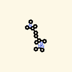 c1ccc(-c2nc(-n3c4ccccc4c4cc(-c5ccc6cc(-c7cc8c9ccccc9n(-c9ccccc9)c8c8ccccc78)ccc6c5)c5ccccc5c43)nc3ccccc23)cc1